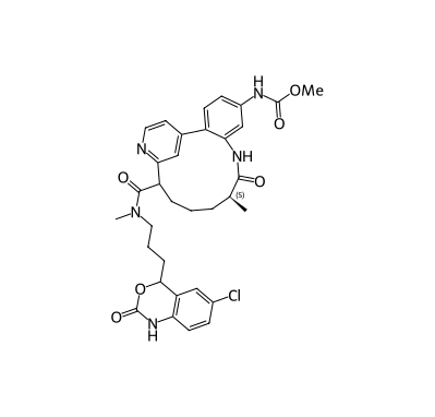 COC(=O)Nc1ccc2c(c1)NC(=O)[C@@H](C)CCCC(C(=O)N(C)CCCC1OC(=O)Nc3ccc(Cl)cc31)c1cc-2ccn1